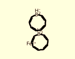 [BH2-]1C=CC=CC=CC=C1.[BH2-]1C=CC=CC=CC=C1.[Fe+2]